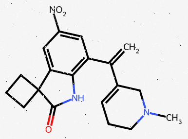 C=C(C1=CCCN(C)C1)c1cc([N+](=O)[O-])cc2c1NC(=O)C21CCC1